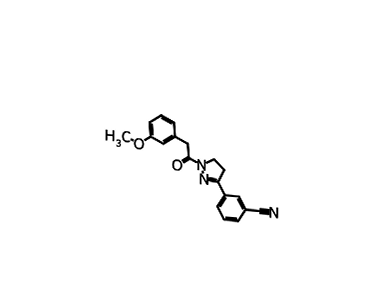 COc1cccc(CC(=O)N2CCC(c3cccc(C#N)c3)=N2)c1